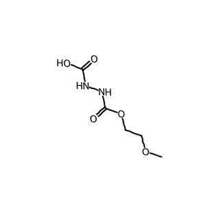 COCCOC(=O)NNC(=O)O